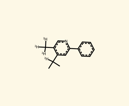 [2H]C([2H])([2H])c1cnc(-c2ccccc2)cc1C([2H])(C)C